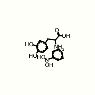 NC(Cc1ccc(O)c(O)c1)C(=O)O.ON(O)c1ccccc1